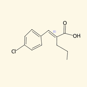 CCC/C(=C\c1ccc(Cl)cc1)C(=O)O